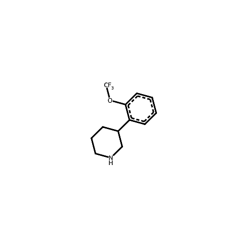 FC(F)(F)Oc1ccccc1C1CCCNC1